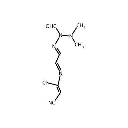 CN(C)N(C=O)N=CC=NC(Cl)=CC#N